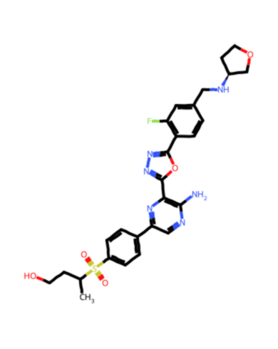 CC(CCO)S(=O)(=O)c1ccc(-c2cnc(N)c(-c3nnc(-c4ccc(CN[C@H]5CCOC5)cc4F)o3)n2)cc1